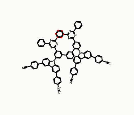 [C-]#[N+]c1ccc(-c2ccc3c(c2)c2cc(-c4ccc(C#N)cc4)ccc2n3-c2cc(-c3cccc(-c4cc(-c5nc(-c6ccccc6)nc(-c6ccccc6)n5)ccc4-n4c5ccc(-c6ccc(C#N)cc6)cc5c5cc(-c6ccc([N+]#[C-])cc6)ccc54)c3)cc(-c3nc(-c4ccccc4)nc(-c4ccccc4)n3)c2)cc1